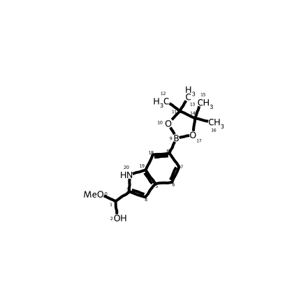 COC(O)c1cc2ccc(B3OC(C)(C)C(C)(C)O3)cc2[nH]1